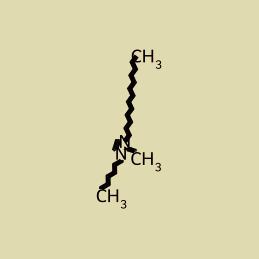 CCCCCCCCCCCCCn1cc[n+](CCCCCCC)c1CC